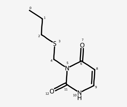 CCCSCn1c(=O)cc[nH]c1=O